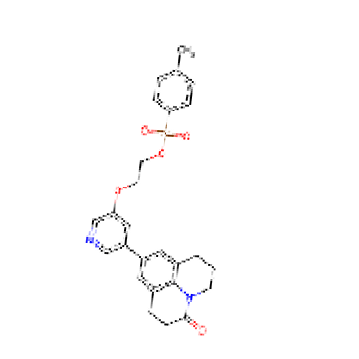 Cc1ccc(S(=O)(=O)OCCOc2cncc(-c3cc4c5c(c3)CCC(=O)N5CCC4)c2)cc1